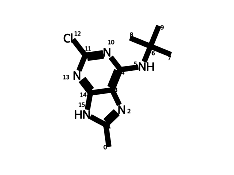 Cc1nc2c(NC(C)(C)C)nc(Cl)nc2[nH]1